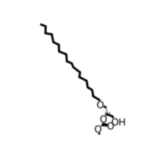 CCCCCCCCCCCCCCCCCCOC[C@H](CO)OC(=O)OC